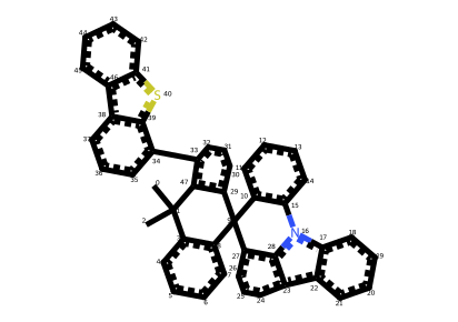 CC1(C)c2ccccc2C2(c3ccccc3-n3c4ccccc4c4cccc2c43)c2cccc(-c3cccc4c3sc3ccccc34)c21